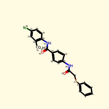 O=C(CSc1ccccc1)Nc1ccc(C(=O)Nc2ccc(Br)cc2C(=O)O)cc1